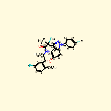 COc1ccc(F)cc1[C@@H](Oc1ccc2c(cnn2-c2ccc(F)cc2)c1)[C@H](C)NC(=O)C(C)(C)F